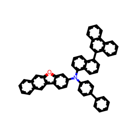 c1ccc(-c2ccc(N(c3ccc4c(c3)oc3cc5ccccc5cc34)c3cccc4c(-c5cc6ccccc6c6ccccc56)cccc34)cc2)cc1